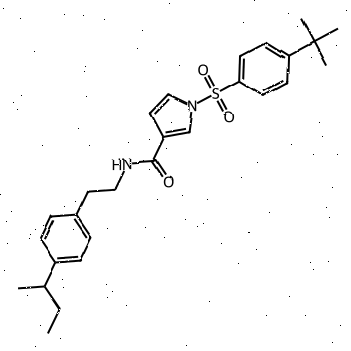 CCC(C)c1ccc(CCNC(=O)c2ccn(S(=O)(=O)c3ccc(C(C)(C)C)cc3)c2)cc1